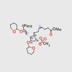 CCCCC[C@@H](/C=C/[C@@H]1[C@@H](CC/C=C\CCC(=O)OC)[C@H](OS(C)(=O)=O)C[C@H]1OC1CCCCO1)OC1CCCCO1